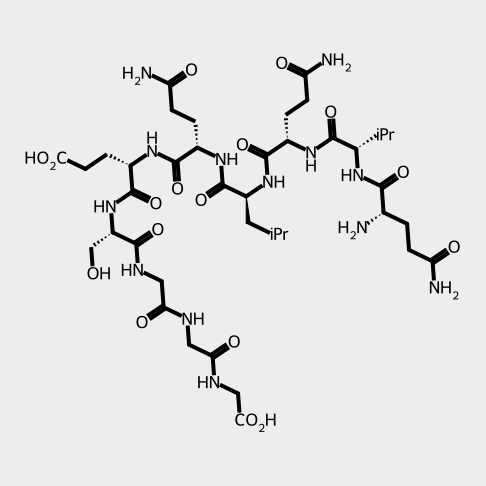 CC(C)C[C@H](NC(=O)[C@H](CCC(N)=O)NC(=O)[C@@H](NC(=O)[C@@H](N)CCC(N)=O)C(C)C)C(=O)N[C@@H](CCC(N)=O)C(=O)N[C@@H](CCC(=O)O)C(=O)N[C@@H](CO)C(=O)NCC(=O)NCC(=O)NCC(=O)O